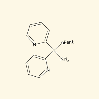 CCCCCC(N)(c1ccccn1)c1ccccn1